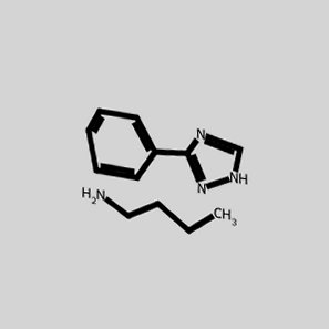 CCCCN.c1ccc(-c2nc[nH]n2)cc1